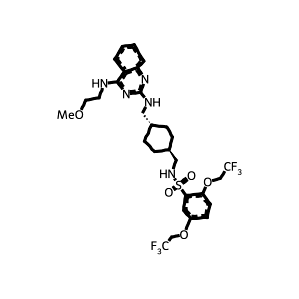 COCCNc1nc(NC[C@H]2CC[C@H](CNS(=O)(=O)c3cc(OCC(F)(F)F)ccc3OCC(F)(F)F)CC2)nc2ccccc12